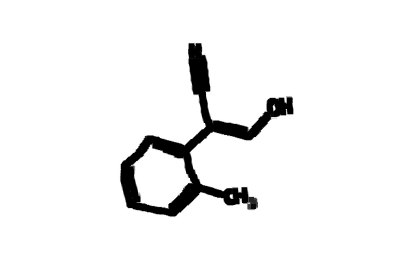 Cc1ccccc1C(C#N)=CO